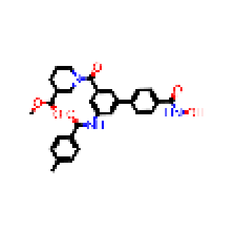 COC(=O)C1CCCN(C(=O)c2cc(NC(=O)c3ccc(C)cc3)cc(-c3ccc(C(=O)NO)cc3)c2)C1